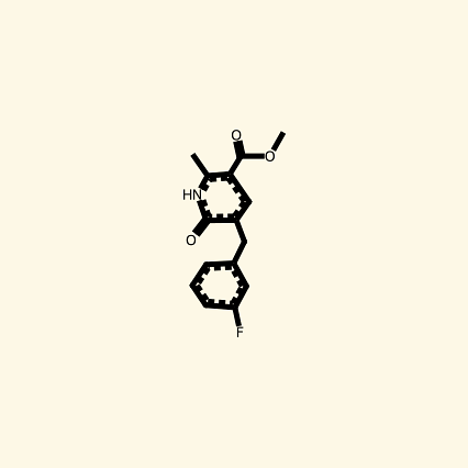 COC(=O)c1cc(Cc2cccc(F)c2)c(=O)[nH]c1C